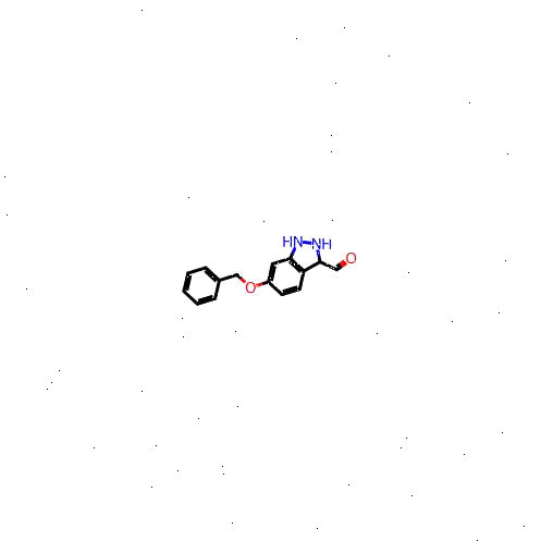 O=CC1NNc2cc(OCc3ccccc3)ccc21